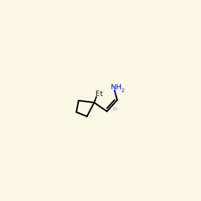 CCC1(/C=C\N)CCC1